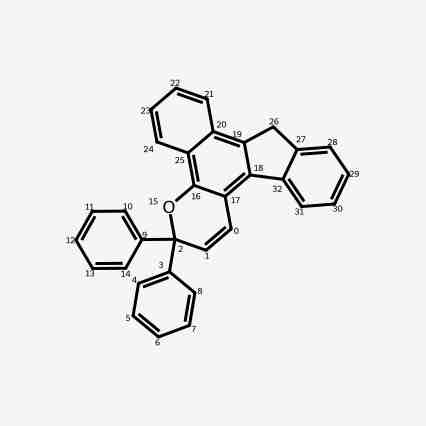 C1=CC(c2ccccc2)(c2ccccc2)Oc2c1c1c(c3ccccc23)Cc2ccccc2-1